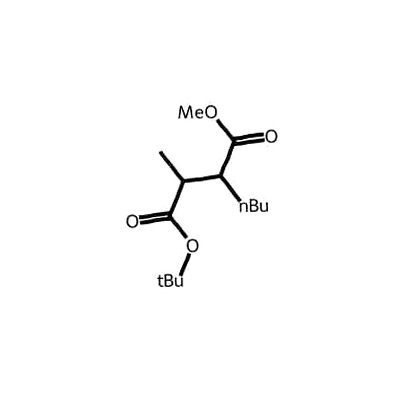 CCCCC(C(=O)OC)C(C)C(=O)OC(C)(C)C